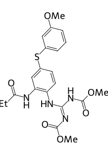 CCC(=O)Nc1cc(Sc2cccc(OC)c2)ccc1NC(=NC(=O)OC)NC(=O)OC